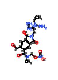 CCN(N)/C(CN1C(=O)c2cc(C=O)c(C(=O)N(C)CO[N+](=O)[O-])cc2C1=O)=N\N